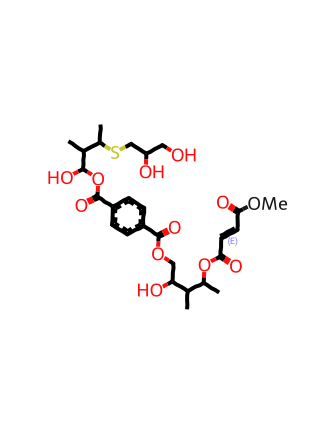 COC(=O)/C=C/C(=O)OC(C)C(C)C(O)COC(=O)c1ccc(C(=O)OC(O)C(C)C(C)SCC(O)CO)cc1